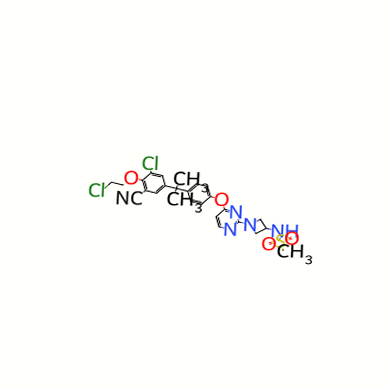 CC(C)(c1ccc(Oc2ccnc(N3CC(NS(C)(=O)=O)C3)n2)cc1)c1cc(Cl)c(OCCCl)c(C#N)c1